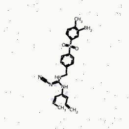 Bc1cc(S(=O)(=O)c2ccc(CN/C(=N\C#N)NC(/C=C\C)=C/C=C)cc2)ccc1C